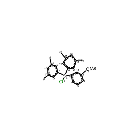 COc1cccc([Si](Cl)(c2cc(C)cc(C)c2)c2cc(C)cc(C)c2)c1